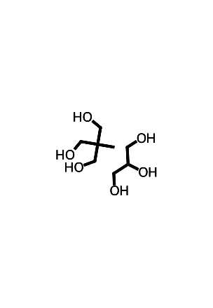 CC(CO)(CO)CO.OCC(O)CO